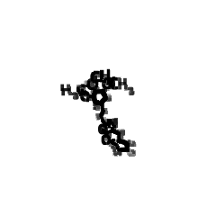 COc1cc(C=CC2=NC(=Cc3cccs3)C(=O)O2)cc(OC)c1OC